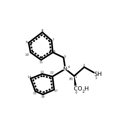 O=C(O)[C@H](CS)N(Cc1ccccc1)c1ccccc1